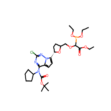 CCOC(=O)C(OCC1CC[C@@H](c2ccc3c(N(C(=O)OC(C)(C)C)C4CCCC4)nc(Cl)nn23)O1)P(OCC)OCC